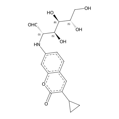 O=C[C@@H](Nc1ccc2cc(C3CC3)c(=O)oc2c1)[C@H](O)[C@@H](O)[C@@H](O)CO